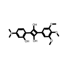 COc1cc(C2=C(O)C(c3ccc(N(C)C)cc3O)=C2O)cc(OC)c1OC